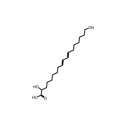 O=C(O)C(O)CCCCCCC=CC=CCCCCCCO